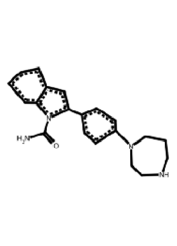 NC(=O)n1c(-c2ccc(N3CCCNCC3)cc2)cc2ccccc21